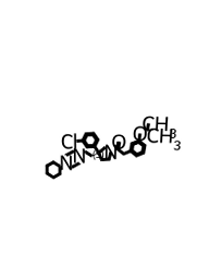 CC(C)Oc1cccc(CC(=O)N2CC[C@@](CCN3CCN(C4CCCCC4)CC3)(c3cccc(Cl)c3)C2)c1